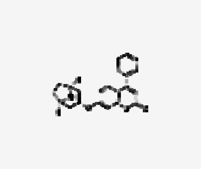 O=c1cc(-c2ccccc2)c2ccc(O[C@@H]3C[C@H]4CC[C@@H](C3)N4)cc2o1